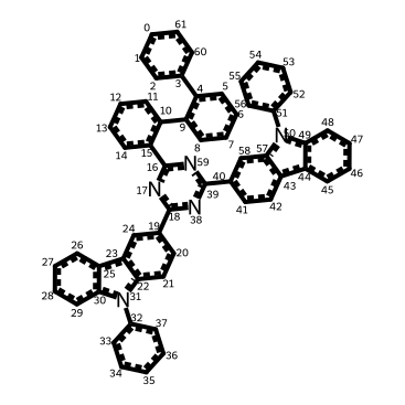 c1ccc(-c2ccccc2-c2ccccc2-c2nc(-c3ccc4c(c3)c3ccccc3n4-c3ccccc3)nc(-c3ccc4c5ccccc5n(-c5ccccc5)c4c3)n2)cc1